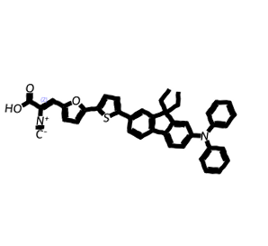 [C-]#[N+]/C(=C\c1ccc(-c2ccc(-c3ccc4c(c3)C(CC)(CC)c3cc(N(c5ccccc5)c5ccccc5)ccc3-4)s2)o1)C(=O)O